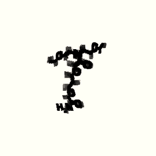 CCOCCN(CCOCC)C(=O)COCCCOCC(N)=O